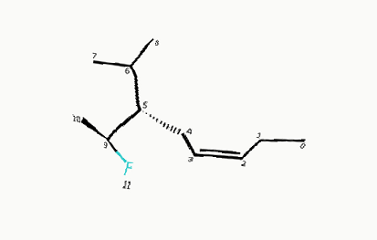 CC/C=C\C[C@@H](C(C)C)[C@H](C)F